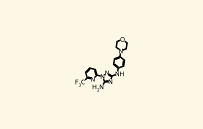 Nc1nc(Nc2ccc(N3CCOCC3)cc2)nn1-c1cccc(C(F)(F)F)n1